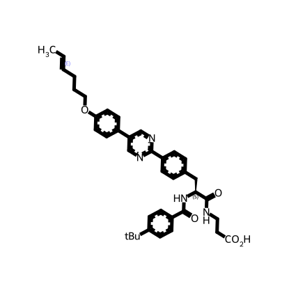 C/C=C/CCCOc1ccc(-c2cnc(-c3ccc(C[C@H](NC(=O)c4ccc(C(C)(C)C)cc4)C(=O)NCCC(=O)O)cc3)nc2)cc1